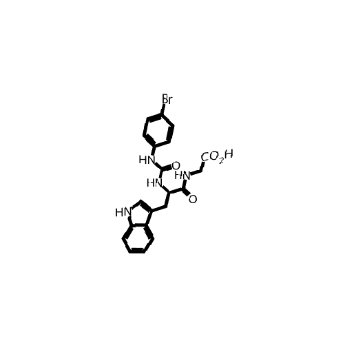 O=C(O)CNC(=O)C(Cc1c[nH]c2ccccc12)NC(=O)Nc1ccc(Br)cc1